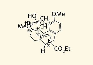 CCOC(=O)N1CC[C@]23c4c5ccc(OC)c4OC2[C@@]2(OC)CCC3(C[C@@H]2[C@@](C)(O)C(C)(C)C)[C@H]1C5